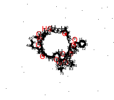 C=C1CC2CCC(OC(=O)c3ccccc3)/C=C/[C@H](O[Si](C)(C)C(C)(C)C)[C@@H]3O[C@H]4CC[C@H](CC(=O)C[C@@H]5[C@@H](C)[C@@H](C[C@H](C)CC)O[C@H]5C[C@@H](OC(C)=O)C(=C)[C@H](C)C[C@H](O)CC[C@@H]1O2)O[C@@H]4[C@H](O[Si](C)(C)C(C)(C)C)[C@@H]3O[Si](C)(C)C(C)(C)C